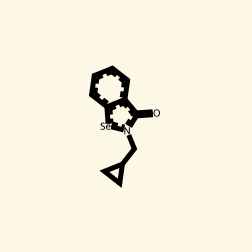 O=c1c2ccccc2[se]n1CC1CC1